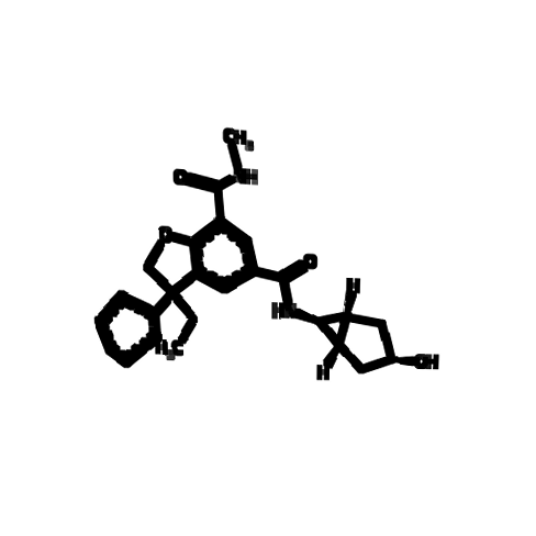 CCC1(c2ccccc2)COc2c(C(=O)NC)cc(C(=O)N[C@H]3[C@@H]4C[C@@H](O)C[C@@H]43)cc21